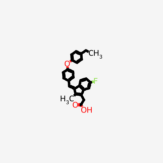 CCc1ccc(Oc2ccc(/C=C3/C(C)=C(CC(=O)O)c4cc(F)ccc43)cc2)cc1